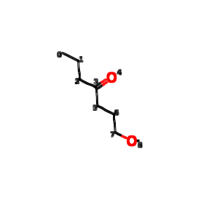 CCCC(=O)CCC[O]